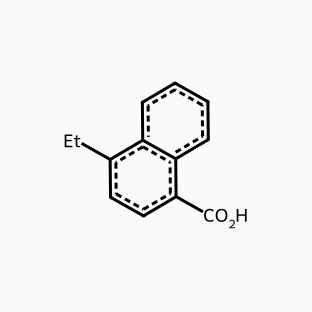 [CH2]Cc1ccc(C(=O)O)c2ccccc12